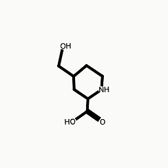 O=C(O)C1CC(CO)CCN1